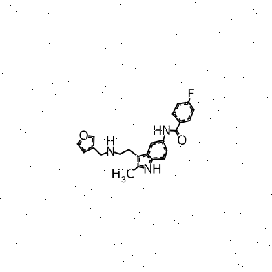 Cc1[nH]c2ccc(NC(=O)c3ccc(F)cc3)cc2c1CCNCc1ccoc1